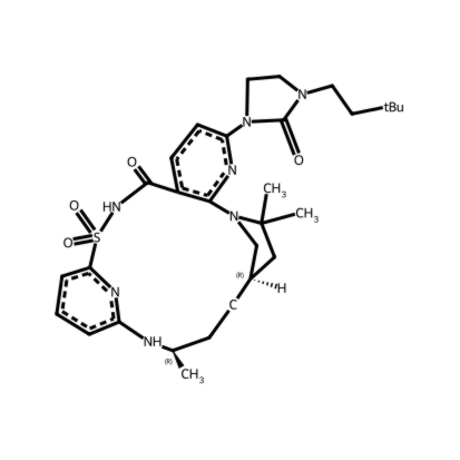 C[C@@H]1CC[C@H]2CN(c3nc(N4CCN(CCC(C)(C)C)C4=O)ccc3C(=O)NS(=O)(=O)c3cccc(n3)N1)C(C)(C)C2